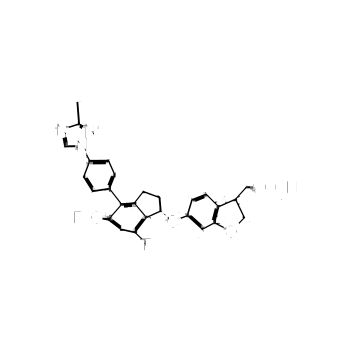 Cc1ncn(-c2ccc(-c3c(C(F)(F)F)cc(F)c4c3CC[C@H]4Oc3ccc4c(c3)OCC4CC(=O)O)cc2)n1